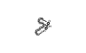 C#CC(O)(c1ccc(OC)cc1)c1ccc(OCCOCCC[Si](C)(C)O[Si](C)(C)O[Si](C)(C)O[Si](C)(C)O[Si](C)(C)O[Si](C)(C)O[Si](C)(C)O[Si](C)(C)O[Si](C)(C)O[Si](C)(C)O[Si](C)(C)O[Si](C)(C)O[Si](C)(C)CCCC)cc1